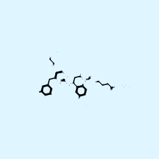 CC[C@@H]1C[C@H](Nc2ncc(OCCOC(C)=O)c(Cc3cc(C(F)(F)F)cc(C(F)(F)F)c3)n2)c2cc(C(F)(F)F)ccc2N1C(=O)OCCCC(=O)OC